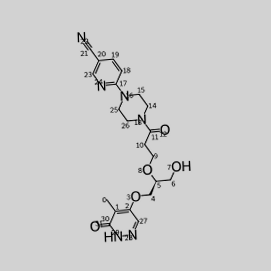 Cc1c(OC[C@H](CO)OCCC(=O)N2CCN(c3ccc(C#N)cn3)CC2)cn[nH]c1=O